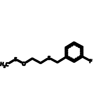 CSOCCSCc1cccc(F)c1